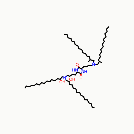 CCCCCCCCCCCCCCC(C)CN(CCCCC1NC(=O)C(CCCCN(CC(O)CCCCCCCCCCCCCC)CC(O)CCCCCCCCCCCCCC)NC1=O)CC(C)CCCCCCCCCCCCCC